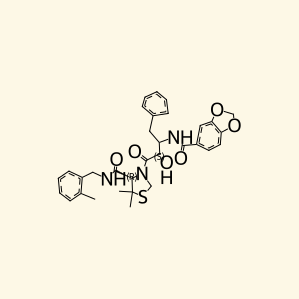 Cc1ccccc1CNC(=O)[C@H]1N(C(=O)[C@@H](O)C(Cc2ccccc2)NC(=O)c2ccc3c(c2)OCO3)CSC1(C)C